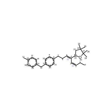 CC/C=C\C(=C/CCc1ccc(Cc2ccc(C)nc2)cc1)B1CC(C)(C)C(C)(C)O1